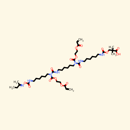 C=CC(=O)OCCOC(=O)N(CCCCCCNC(=O)O/N=C(\C)CC)C(=O)NCCCCCCN(C(=O)NCCCCCCNC(=O)OCC(C)(C)C(=O)O)C(=O)OCCOC(=O)C=C